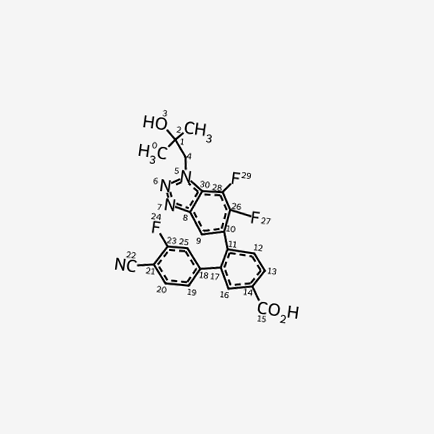 CC(C)(O)Cn1nnc2cc(-c3ccc(C(=O)O)cc3-c3ccc(C#N)c(F)c3)c(F)c(F)c21